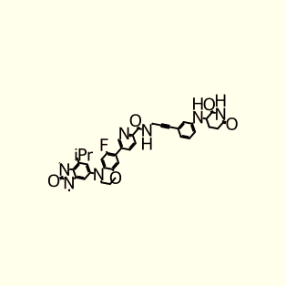 CC(C)c1cc(N2CCOc3cc(-c4ccc(C(=O)NCC#Cc5cccc(NC6CCC(=O)NC6=O)c5)nc4)c(F)cc32)cc2c1n(C)c(=O)n2C